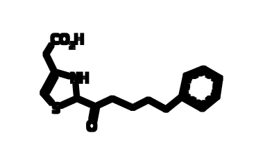 O=C(O)CC1=CSC(C(=O)CCCCc2ccccc2)N1